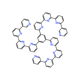 c1cncc(-c2cccc(-c3cccc(-c4cccc(-c5cc(-c6cccc(-c7cccc(-c8cccc(-c9cccnc9)n8)n7)n6)cc(-c6cccc(-c7cccc(-c8cccc(-c9cccnc9)n8)n7)n6)c5)n4)n3)n2)c1